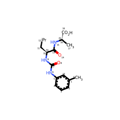 Cc1cccc(NC(=O)N[C@@H](CC(C)C)C(=O)N[C@@H](C)C(=O)O)c1